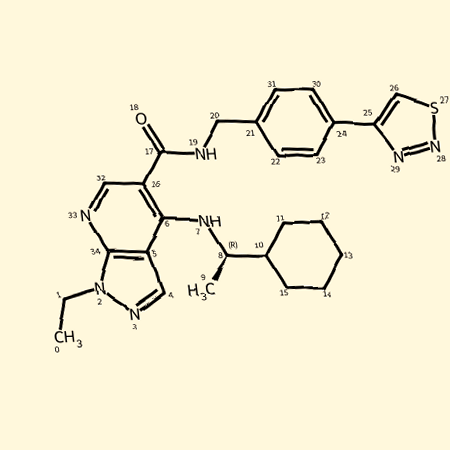 CCn1ncc2c(N[C@H](C)C3CCCCC3)c(C(=O)NCc3ccc(-c4csnn4)cc3)cnc21